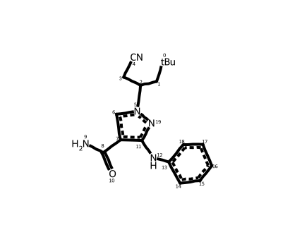 CC(C)(C)CC(CC#N)n1cc(C(N)=O)c(Nc2ccccc2)n1